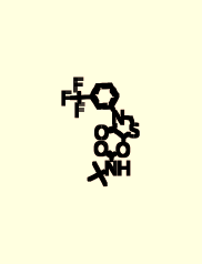 CC(C)(C)NC(=O)OC1SCN(c2cccc(C(F)(F)F)c2)C1=O